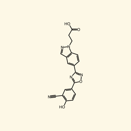 N#Cc1cc(-c2nc(-c3ccc4c(cnn4CCC(=O)O)c3)no2)ccc1O